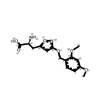 COc1ccc(COc2cc(C[C@H](N)C(=O)O)on2)c(OC)c1